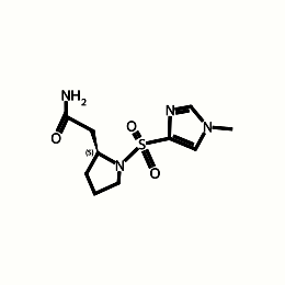 Cn1cnc(S(=O)(=O)N2CCC[C@H]2CC(N)=O)c1